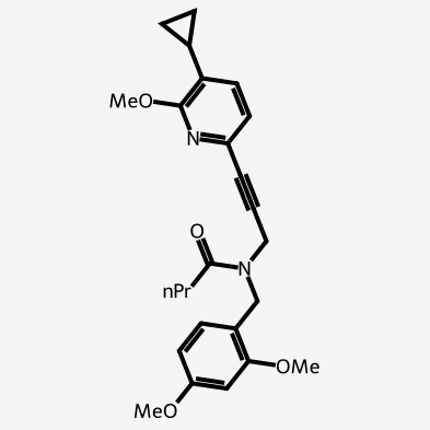 CCCC(=O)N(CC#Cc1ccc(C2CC2)c(OC)n1)Cc1ccc(OC)cc1OC